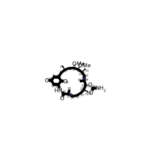 CO[C@H]1[C@@H](OC)C[C@H](C)CC2=CC(=O)C=C(NC(=O)/C(C)=C/CC[C@H](C)[C@@H](OC(N)=O)/C(C)=C/[C@@H]1C)C2=O